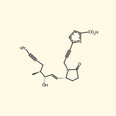 CCCC#CC[C@H](C)[C@@H](O)C=C[C@H]1CCC(=O)N1CC#Cc1ccc(C(=O)O)s1